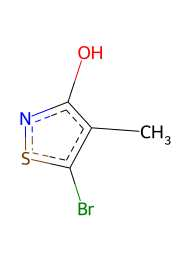 Cc1c(O)nsc1Br